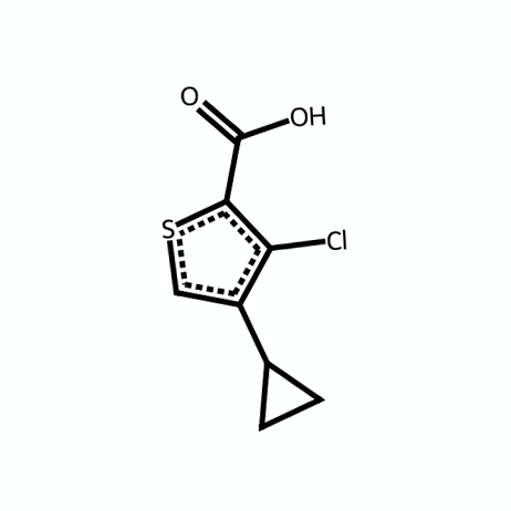 O=C(O)c1scc(C2CC2)c1Cl